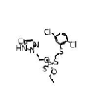 CCOP(=S)(OCC)SCSc1cc(Cl)ccc1Cl.[Cu].c1c[nH]nn1